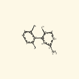 Cc1cccc(C)c1-c1nc(N)ncc1I